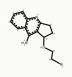 Nc1c2c(nc3ccccc13)CCC2OCCBr